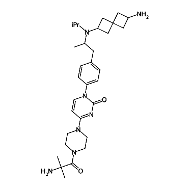 CC(C)N(C(C)Cc1ccc(-n2ccc(N3CCN(C(=O)C(C)(C)N)CC3)nc2=O)cc1)C1CC2(CC(N)C2)C1